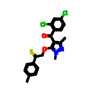 Cc1ccc(C(=S)COc2c(C(=O)c3ccc(Cl)cc3Cl)c(C)nn2C)cc1